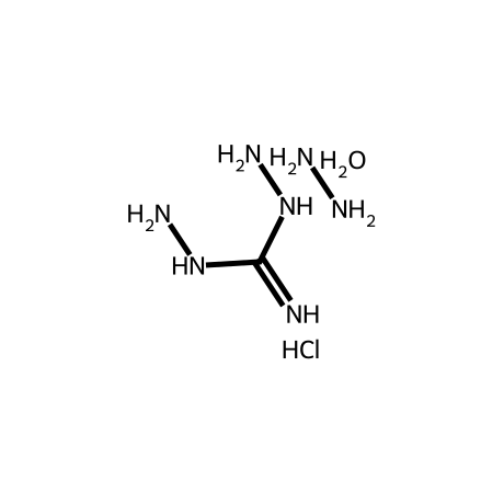 Cl.N=C(NN)NN.NN.O